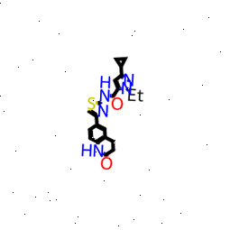 CCn1nc(C2CC2)cc1C(=O)Nc1nc(-c2ccc3c(c2)CCC(=O)N3)cs1